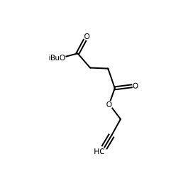 C#CCOC(=O)CCC(=O)OCC(C)C